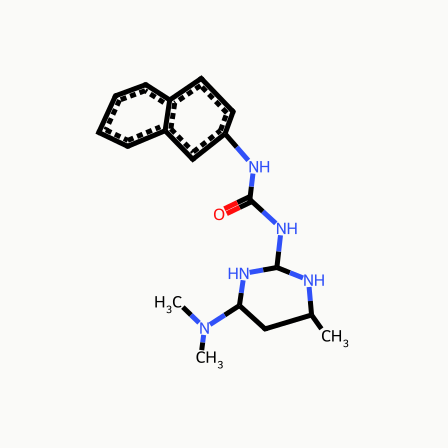 CC1CC(N(C)C)NC(NC(=O)Nc2ccc3ccccc3c2)N1